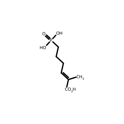 CC(=CCCCP(=O)(O)O)C(=O)O